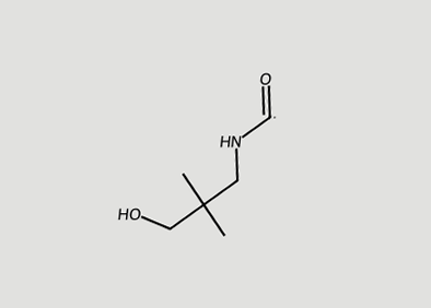 CC(C)(CO)CN[C]=O